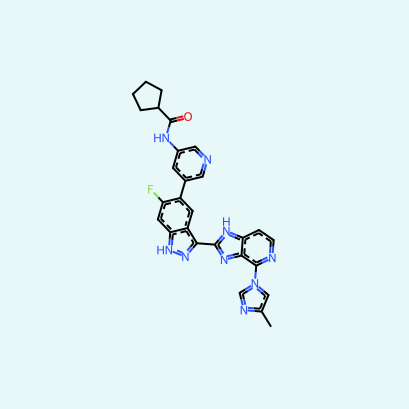 Cc1cn(-c2nccc3[nH]c(-c4n[nH]c5cc(F)c(-c6cncc(NC(=O)C7CCCC7)c6)cc45)nc23)cn1